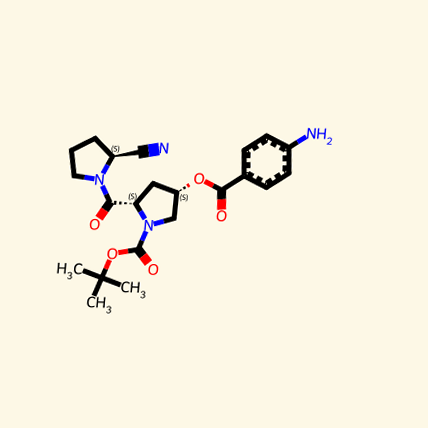 CC(C)(C)OC(=O)N1C[C@@H](OC(=O)c2ccc(N)cc2)C[C@H]1C(=O)N1CCC[C@H]1C#N